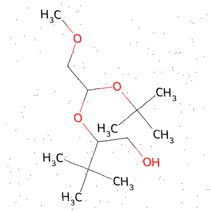 COCC(OC(CO)C(C)(C)C)OC(C)(C)C